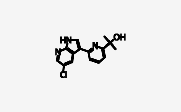 CC(C)(O)c1cccc(-c2c[nH]c3ncc(Cl)cc23)n1